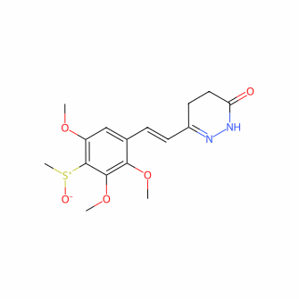 COc1cc(C=CC2=NNC(=O)CC2)c(OC)c(OC)c1[S+](C)[O-]